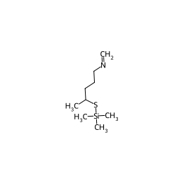 C=NCCCC(C)S[Si](C)(C)C